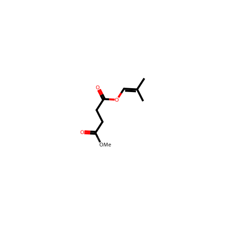 COC(=O)CCC(=O)OC=C(C)C